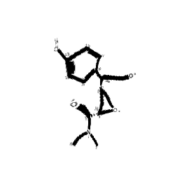 CN(C)C(=O)[C@H]1O[C@@H]1C(=O)c1ccc(Cl)cc1